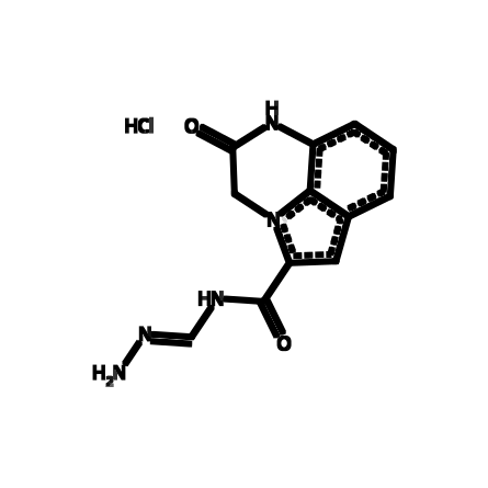 Cl.NN=CNC(=O)c1cc2cccc3c2n1CC(=O)N3